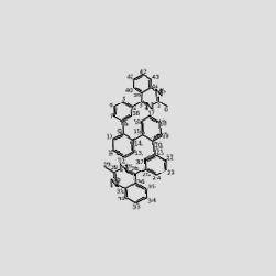 Cc1nc(-c2cccc(-c3ccccc3-c3ccccc3-c3cccc(-c4nc(C)nc5ccccc45)c3)c2)c2ccccc2n1